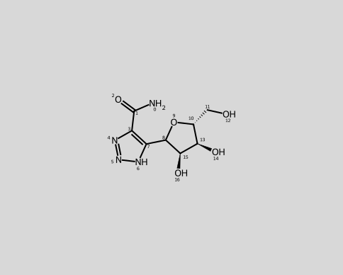 NC(=O)c1nn[nH]c1C1O[C@H](CO)[C@@H](O)[C@H]1O